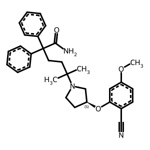 COc1ccc(C#N)c(O[C@H]2CCN(C(C)(C)CCC(C(N)=O)(c3ccccc3)c3ccccc3)C2)c1